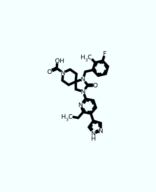 CCc1nc(N2CC3(CCN(C(=O)O)CC3)N(Cc3cccc(F)c3C)C2=O)ccc1-c1cn[nH]c1